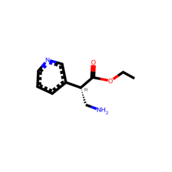 CCOC(=O)[C@H](CN)c1cccnc1